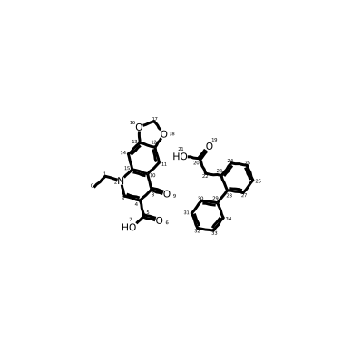 CCn1cc(C(=O)O)c(=O)c2cc3c(cc21)OCO3.O=C(O)Cc1ccccc1-c1ccccc1